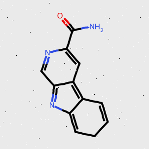 NC(=O)c1cc2c(cn1)=NC1=CCC=CC=21